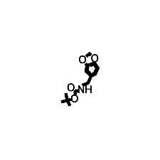 CC(C)(C)OC(=O)NCCc1ccc2c(c1)OCO2